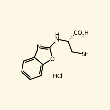 Cl.O=C(O)[C@H](CS)Nc1nc2ccccc2o1